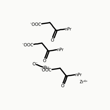 CCC(C)[O-].CCCC(=O)CC(=O)[O-].CCCC(=O)CC(=O)[O-].CCCC(=O)CC(=O)[O-].[Zr+4]